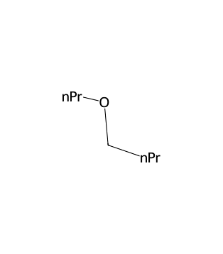 [CH2]CCOCCCC